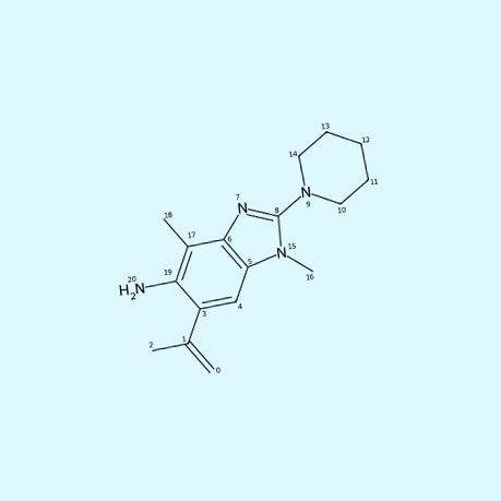 C=C(C)c1cc2c(nc(N3CCCCC3)n2C)c(C)c1N